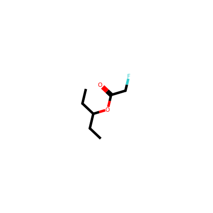 CCC(CC)OC(=O)CF